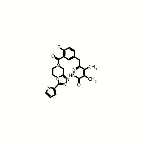 Cc1c(Cc2ccc(F)c(C(=O)N3CCn4c(nnc4-c4cccs4)C3)c2)n[nH]c(=O)c1C